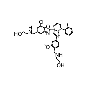 COc1cc(/C(F)=C/C2(c3nc4cc(CNCCO)cc(Cl)c4o3)C=CC=C(c3ccccc3C)C2C)ccc1CNCCO